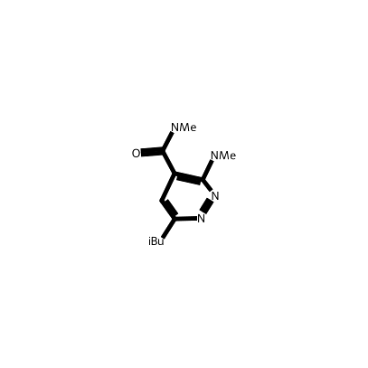 CCC(C)c1cc(C(=O)NC)c(NC)nn1